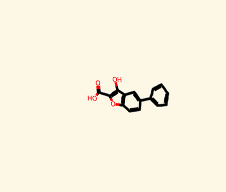 O=C(O)c1oc2ccc(-c3ccccc3)cc2c1O